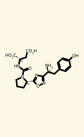 N[C@@H](Cc1ccc(O)cc1)c1noc([C@@H]2CCCN2C(=O)N[C@@H](CC(=O)O)C(=O)O)n1